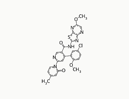 COc1cnc2nc(NC(=O)c3cnc(-n4ccc(C)cc4=O)cc3-c3cc(Cl)ccc3OC)sc2n1